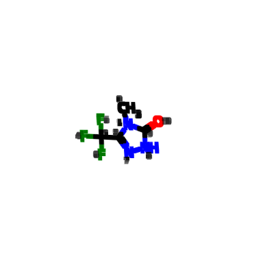 Cn1c(C(F)(F)F)n[nH]c1=O